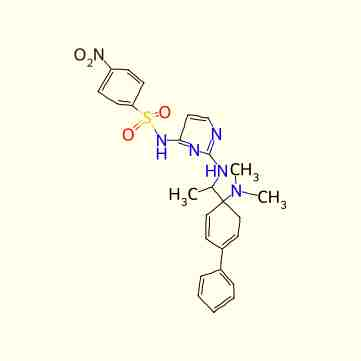 CC(Nc1nccc(NS(=O)(=O)c2ccc([N+](=O)[O-])cc2)n1)C1(N(C)C)C=CC(c2ccccc2)=CC1